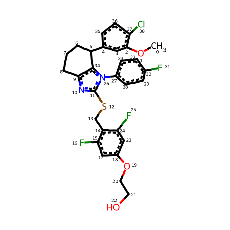 COc1cc(C2CCCc3nc(SCc4c(F)cc(OCCO)cc4F)n(-c4ccc(F)cc4)c32)ccc1Cl